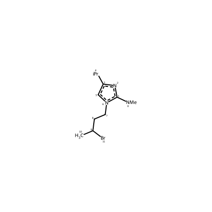 CNc1nc(C(C)C)cn1CCC(C)Br